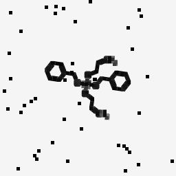 C=CC[O][Hf]([O]CC=C)([O]Cc1ccccc1)[O]Cc1ccccc1